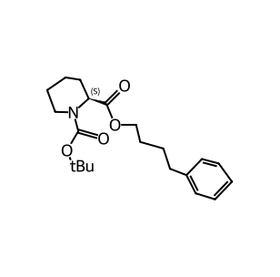 CC(C)(C)OC(=O)N1CCCC[C@H]1C(=O)OCCCCc1ccccc1